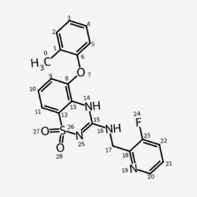 Cc1ccccc1Oc1cccc2c1NC(NCc1ncccc1F)=NS2(=O)=O